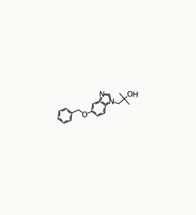 CC(C)(O)Cn1cnc2cc(OCc3ccccc3)ccc21